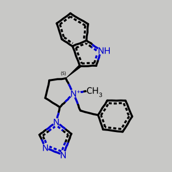 C[N+]1(Cc2ccccc2)C(n2cnnc2)CC[C@H]1c1c[nH]c2ccccc12